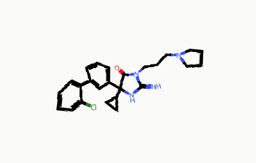 N=C1NC(c2cccc(-c3ccccc3Cl)c2)(C2CC2)C(=O)N1CCCN1CCCC1